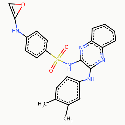 Cc1ccc(Nc2nc3ccccc3nc2NS(=O)(=O)c2ccc(NC3=CO3)cc2)cc1C